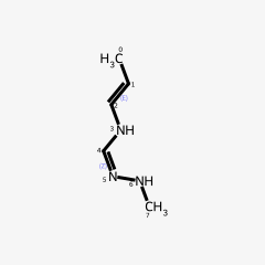 C/C=C/N/C=N\NC